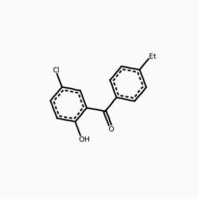 CCc1ccc(C(=O)c2cc(Cl)ccc2O)cc1